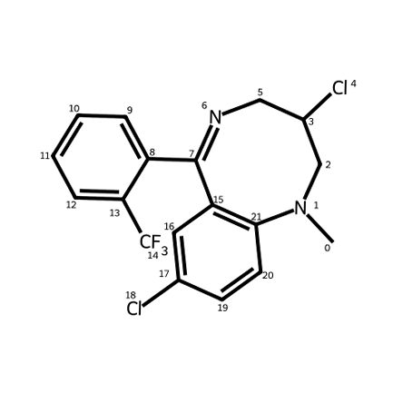 CN1CC(Cl)CN=C(c2ccccc2C(F)(F)F)c2cc(Cl)ccc21